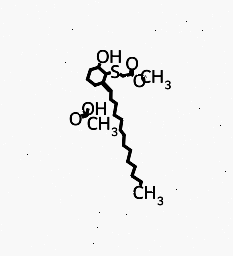 CC(=O)O.CCCCCCCCCCCCCC=C1CCCC(O)C1SCC(=O)OC